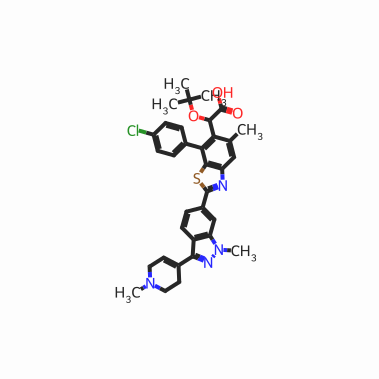 Cc1cc2nc(-c3ccc4c(C5=CCN(C)CC5)nn(C)c4c3)sc2c(-c2ccc(Cl)cc2)c1C(OC(C)(C)C)C(=O)O